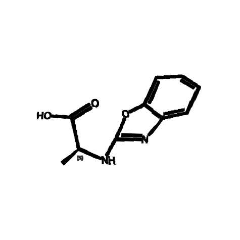 C[C@H](Nc1nc2ccccc2o1)C(=O)O